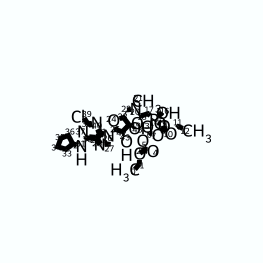 CCOC(=O)OC(OC(=O)OCC)OP(=O)(O)CC(=O)N(C)C[C@H]1O[C@@H](n2cnc3c(NC4CCCC4)nc(Cl)nc32)[C@H](O)[C@@H]1O